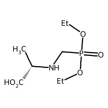 CCOP(=O)(CN[C@@H](C)C(=O)O)OCC